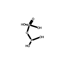 O=[As](O)(O)OP(O)O